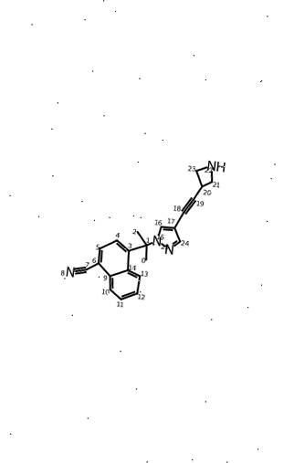 CC(C)(c1ccc(C#N)c2ccccc12)n1cc(C#CC2CNC2)cn1